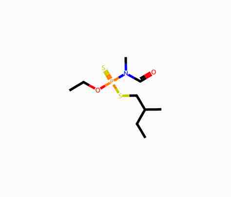 CCOP(=S)(SCC(C)CC)N(C)C=O